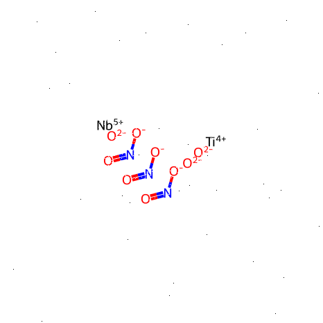 O=N[O-].O=N[O-].O=N[O-].[Nb+5].[O-2].[O-2].[O-2].[Ti+4]